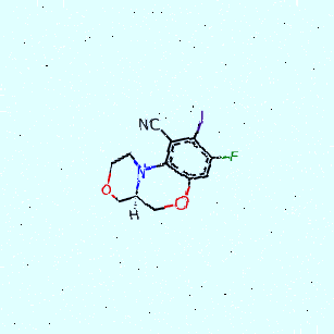 N#Cc1c(I)c(F)cc2c1N1CCOC[C@@H]1CO2